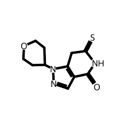 O=C1NC(=S)Cc2c1cnn2C1CCOCC1